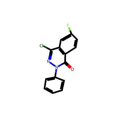 O=c1c2ccc(F)cc2c(Cl)nn1-c1ccccc1